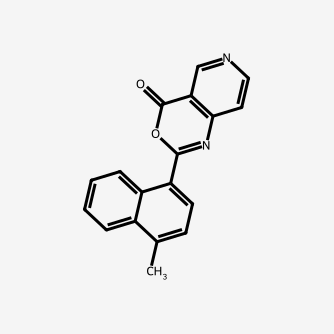 Cc1ccc(-c2nc3ccncc3c(=O)o2)c2ccccc12